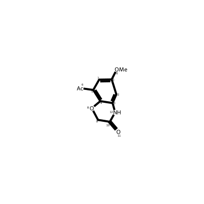 COc1cc2c(c(C(C)=O)c1)OCC(=O)N2